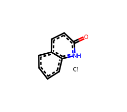 O=c1ccc2ccccc2[nH]1.[C]